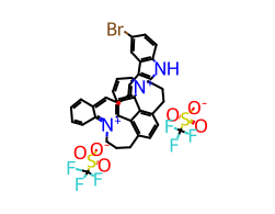 Brc1ccc2[nH]cc(/C=C/c3cc4ccccc4[n+]4c3-c3c(ccc5c3-c3cccc[n+]3CCC5)CCC4)c2c1.O=S(=O)([O-])C(F)(F)F.O=S(=O)([O-])C(F)(F)F